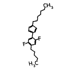 CCCCCCCc1ccc(-c2cc(F)c(CCCCC)cc2F)cc1